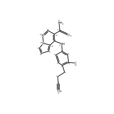 C#CCCc1ccc(Nc2c(C(N)=O)cnn3cccc23)cc1Cl